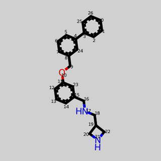 c1ccc(-c2cccc(COc3cccc(CNCC4CNC4)c3)c2)cc1